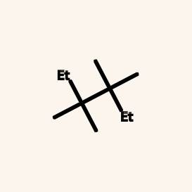 [CH2]CC(C)(C)C(C)(C)CC